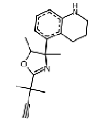 C#CC(C)(C)C1=NC(C)(c2cccc3c2CCCN3)C(C)O1